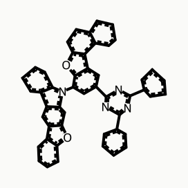 c1ccc(-c2nc(-c3ccccc3)nc(-c3cc(-n4c5ccccc5c5cc6c(cc54)oc4ccccc46)c4oc5ccc6ccccc6c5c4c3)n2)cc1